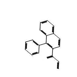 C=CC(=O)c1ccc2ccccc2c1-c1ccccc1